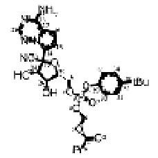 CC(C)C(=O)OCOP(=O)(OC[C@H]1O[C@@](C#N)(c2ccc3c(N)ncnn23)[C@H](O)[C@@H]1O)Oc1ccc(C(C)(C)C)cc1